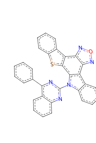 c1ccc(-c2nc(-n3c4ccccc4c4c5nonc5c5c6ccccc6sc5c43)nc3ccccc23)cc1